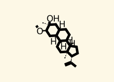 C=C(C)[C@H]1CC[C@H]2[C@@H]3CC[C@@H]4C[C@](C)(O)[C@H](OC)C[C@@H]4[C@H]3CC[C@]12C